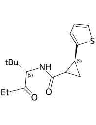 CCC(=O)[C@@H](NC(=O)C1C[C@@H]1c1cccs1)C(C)(C)C